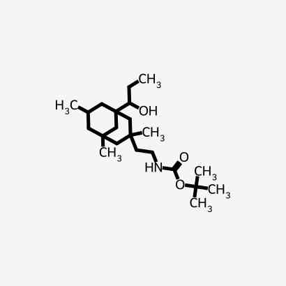 CCC(O)C12CC(C)CC(C)(CC(C)(CCNC(=O)OC(C)(C)C)C1)C2